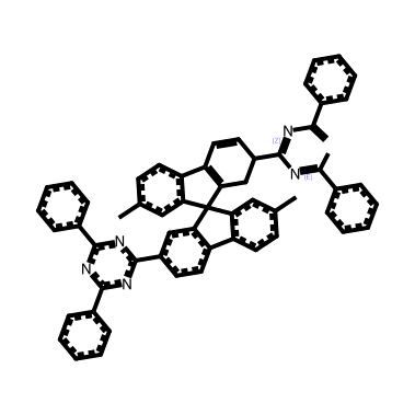 C=C(/N=C(\N=C(/C)c1ccccc1)C1C=CC2=C(C1)C1(c3cc(C)ccc32)c2cc(C)ccc2-c2ccc(-c3nc(-c4ccccc4)nc(-c4ccccc4)n3)cc21)c1ccccc1